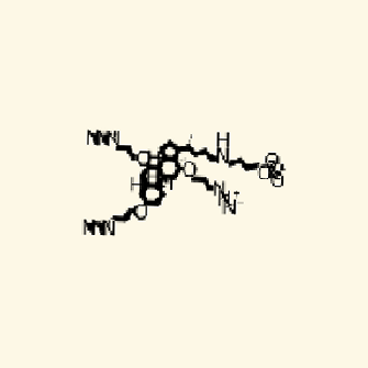 C[C@H](CCCNCCCCOS(C)(=O)=O)C1CC[C@H]2[C@@H]3[C@H](OCCCN=[N+]=[N-])C[C@@H]4C[C@H](OCCCN=[N+]=[N-])CC[C@]4(C)[C@H]3C[C@H](OCCCN=[N+]=[N-])[C@]12C